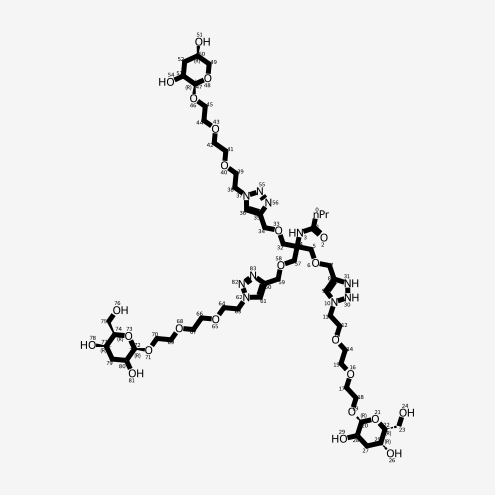 CCCC(=O)NC(COCC1=CN(CCOCCOCCO[C@@H]2O[C@H](CO)[C@H](O)CC2O)NN1)(COCc1cn(CCOCCOCCO[C@@H]2OC[C@H](O)CC2O)nn1)COCc1cn(CCOCCOCCO[C@@H]2O[C@H](CO)[C@H](O)CC2O)nn1